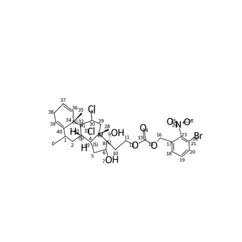 CC1C[C@H]2[C@@H]3CC(O)[C@](O)(CCOC(=O)OCc4cccc(Br)c4[N+](=O)[O-])[C@@]3(C)CC(Cl)[C@]2(Cl)[C@@]2(C)C=CCC=C12